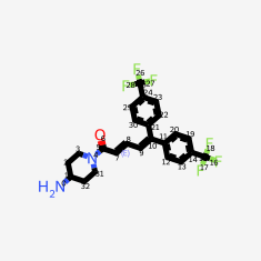 NC1CCN(C(=O)/C=C/C=C(c2ccc(C(F)(F)F)cc2)c2ccc(C(F)(F)F)cc2)CC1